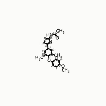 COc1ccc(Oc2c(C)cc(-c3csc(NC(C)=O)n3)cc2C)cc1